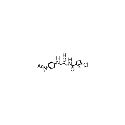 CC(=O)N(C)c1ccc(NCC(O)CNC(=O)c2ccc(Cl)s2)cc1